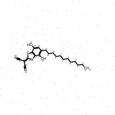 CCCCCCCCCCCCc1cc(O)c2c(c1O)SC(=C(C#N)C#N)S2